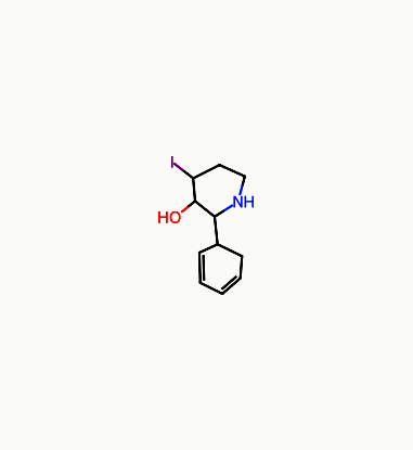 OC1C(I)CCNC1C1C=CC=CC1